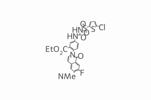 CCOC(=O)c1cc(NC(=O)NS(=O)(=O)c2ccc(Cl)s2)ccc1-n1ccc2cc(NC)c(F)cc2c1=O